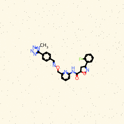 Cn1nnnc1-c1ccc(C=NOCc2cccc(NC(=O)C3CC(c4ccccc4F)=NO3)n2)cc1